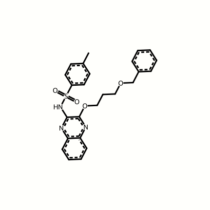 Cc1ccc(S(=O)(=O)Nc2nc3ccccc3nc2OCCCOCc2ccccc2)cc1